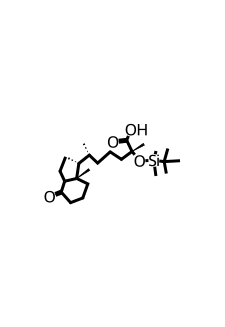 C[C@H](CCC[C@@](C)(O[Si](C)(C)C(C)(C)C)C(=O)O)[C@H]1CCC2C(=O)CCC[C@]21C